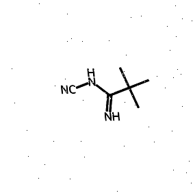 CC(C)(C)C(=N)NC#N